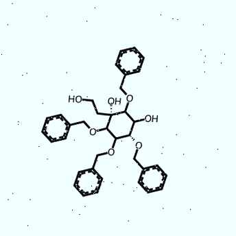 OCC[C@@]1(O)C(OCc2ccccc2)C(O)[C@H](OCc2ccccc2)C(OCc2ccccc2)C1OCc1ccccc1